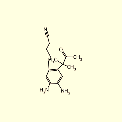 CC(=O)C(C)(C)c1cc(N)c(N)cc1CCCCC#N